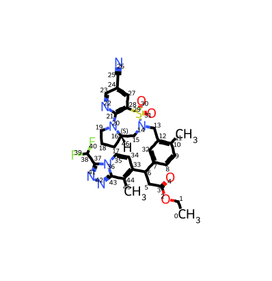 CCOC(=O)CC(c1ccc(C)c(CN2C[C@@H]3CCCN3c3ncc(C#N)cc3S2(=O)=O)c1)c1ccn2c(C(F)F)nnc2c1C